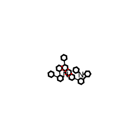 c1ccc(-c2ccc(N(c3ccc(-c4cccc5c6ccccc6n(-c6ccccc6)c45)cc3)c3cccc(-c4ccccc4)c3-c3ccccc3-c3ccccc3)cc2)cc1